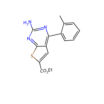 CCOC(=O)c1cc2c(-c3ccccc3C)nc(N)nc2s1